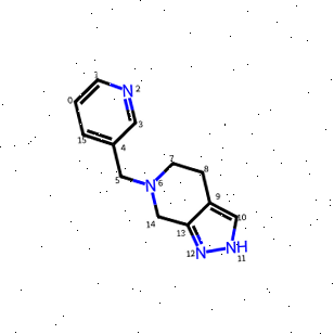 c1cncc(CN2CCc3c[nH]nc3C2)c1